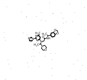 Cc1cc(N(CC(=O)NC(C)c2ccc3c(c2)OCO3)C(C)N2CCOCC2)nc(-n2ccnc2)n1